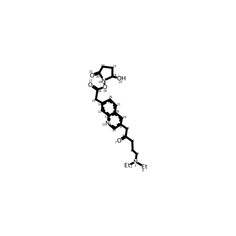 CCN(CC)CCCC(=O)Cc1cnc2cc(CC(=O)ON3C(=O)CCC3O)ccc2c1